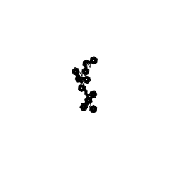 c1ccc(-c2cccc(-c3cccc(-n4c5ccccc5c5ccc6c(c7ccccc7n6-c6cccc(CCC7c8ccccc8-c8cc9c(cc87)c7ccccc7n9-c7ccccc7)c6)c54)c3)n2)cc1